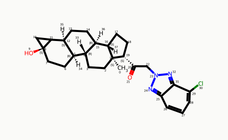 C[C@]12CC[C@@H]3[C@H]4CC[C@]5(O)CC5[C@H]4CC[C@H]3[C@@H]1CC[C@@H]2C(=O)Cn1nc2cccc(Cl)c2n1